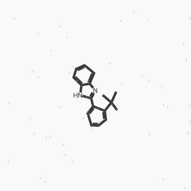 CC(C)(C)c1ccccc1-c1nc2ccccc2[nH]1